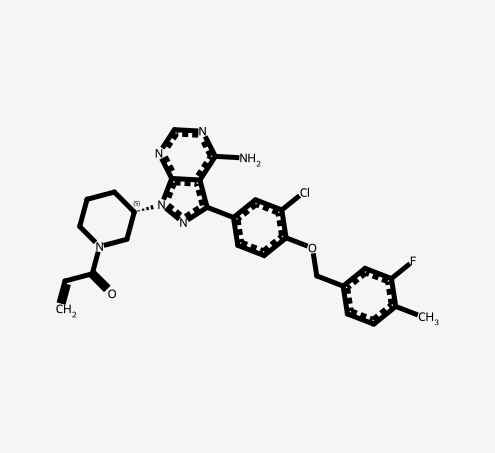 C=CC(=O)N1CCC[C@H](n2nc(-c3ccc(OCc4ccc(C)c(F)c4)c(Cl)c3)c3c(N)ncnc32)C1